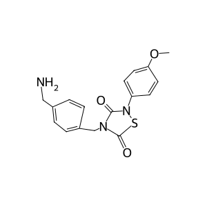 COc1ccc(-n2sc(=O)n(Cc3ccc(CN)cc3)c2=O)cc1